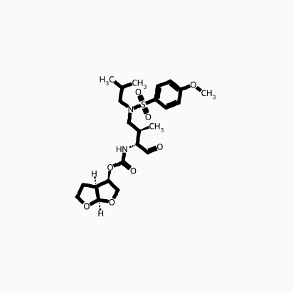 COc1ccc(S(=O)(=O)N(CC(C)C)C[C@@H](C)[C@H](C=O)NC(=O)O[C@H]2CO[C@H]3OCC[C@H]32)cc1